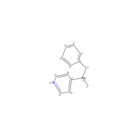 C[As](Cc1ccccc1)c1ccncc1